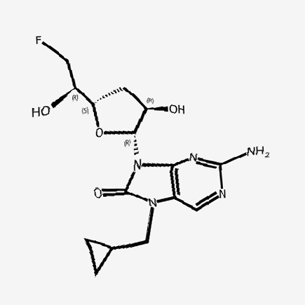 Nc1ncc2c(n1)n([C@@H]1O[C@H]([C@@H](O)CF)C[C@H]1O)c(=O)n2CC1CC1